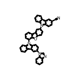 N#Cc1ccc2c(c1)c1ccccc1n2-c1ccc2oc3c(-n4c5ccccc5c5cc(-n6cnc7ccccc76)ccc54)cccc3c2c1